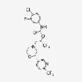 O=C(Nc1ccc(Cl)c(F)c1)O[C@@H](CN1CCO[C@@H](c2ccc(C(F)(F)F)nc2)C1)C(F)(F)F